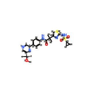 COC(C)(C)c1cncc(-c2ccc(NC(=O)C(C)(C)c3csc(NS(=O)(=O)C4CC4)n3)cc2)n1